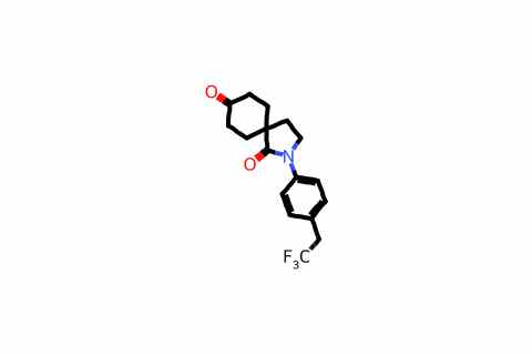 O=C1CCC2(CC1)CCN(c1ccc(CC(F)(F)F)cc1)C2=O